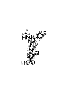 CC(C)CNc1nc(-c2ccc(F)cc2)cc(N2CCN(c3ncc(C(=O)O)cc3Cl)CC2C)n1